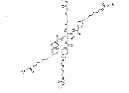 C=CC(=O)OCCCCCCOc1ccc(C(=O)Oc2ccc(OC(=O)c3ccc(OCCCCCCOC(=O)C=C)cc3)c(OCCCCCCOC(=O)C=C)c2/C=N/Nc2ccc3cc(OCCCCCCOC(=O)C=C)ccc3c2)cc1